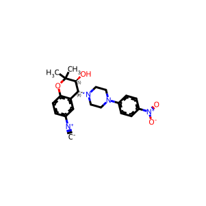 [C-]#[N+]c1ccc2c(c1)[C@@H](N1CCN(c3ccc([N+](=O)[O-])cc3)CC1)[C@H](O)C(C)(C)O2